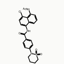 CC(=O)Nc1cccc2c(NC(=O)c3ccc(N4CCCCS4(=O)=O)cc3)ccc(Cl)c12